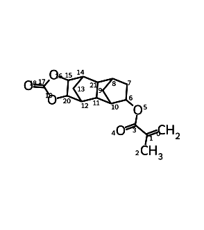 C=C(C)C(=O)OC1CC2CC1C1C3CC(C4OC(=O)OC34)C21